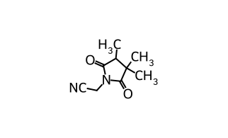 CC1C(=O)N(CC#N)C(=O)C1(C)C